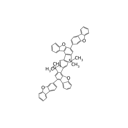 C[Si]1(C)c2cc3c(cc2-c2c1cc(-c1ccc4c(c1)oc1ccccc14)c1c2oc2ccccc21)[Si](C)(C)c1cc(-c2ccc4c(c2)oc2ccccc24)c2oc4ccccc4c2c1-3